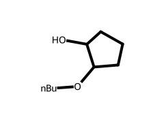 CCCCOC1CCCC1O